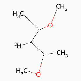 [2H]C(C(C)OC)C(C)OC